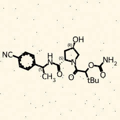 C[C@H](NC(=O)[C@@H]1C[C@@H](O)CN1C(=O)C(OC(N)=O)C(C)(C)C)c1ccc(C#N)cc1